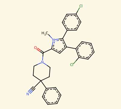 Cn1c(C(=O)N2CCC(C#N)(c3ccccc3)CC2)cc(-c2ccccc2Cl)c1-c1ccc(Cl)cc1